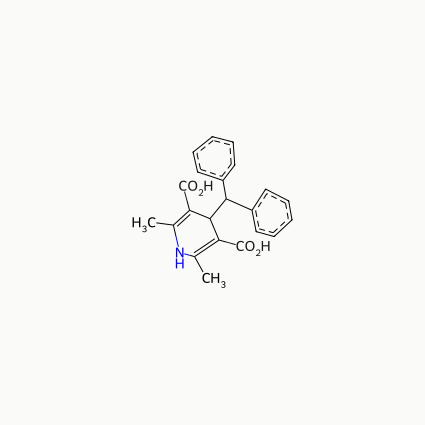 CC1=C(C(=O)O)C(C(c2ccccc2)c2ccccc2)C(C(=O)O)=C(C)N1